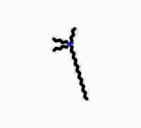 CCCCCCCCCCCCCCCCC[N+](CCCCC)(CCCCC)CCCCC